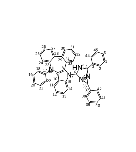 c1ccc(C2NC(n3c4c(c5ccccc53)N(c3ccccc3)c3ccccc3-c3ccccc3-4)N3C(c4ccccc4)N23)cc1